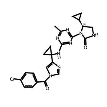 Cc1nc(NC2(c3cn(C(=O)c4ccc(Cl)cc4)cn3)CC2)nc(N2C(=O)NC[C@@H]2C2CC2)n1